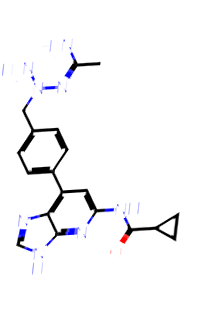 C/C(N)=N/N(N)Cc1ccc(-c2cc(NC(=O)C3CC3)nc3[nH]cnc23)cc1